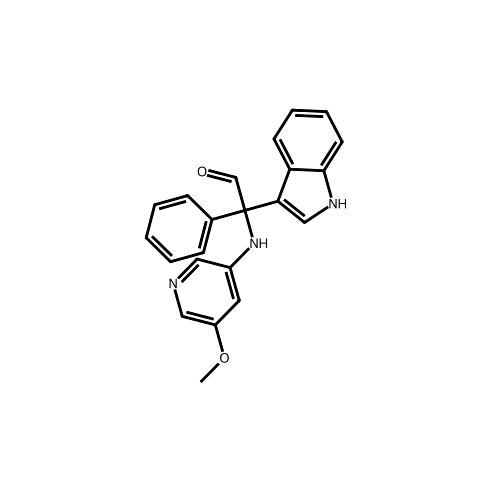 COc1cncc(NC(C=O)(c2ccccc2)c2c[nH]c3ccccc23)c1